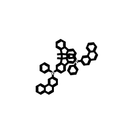 CC1(C2(C)c3ccccc3-c3ccc(N(c4ccccc4)c4ccc5ccc6ccccc6c5c4)cc32)c2ccccc2-c2ccc(N(c3ccccc3)c3ccc4ccc5ccccc5c4c3)cc21